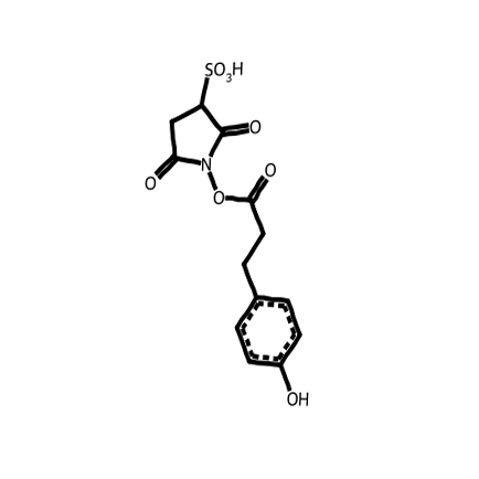 O=C(CCc1ccc(O)cc1)ON1C(=O)CC(S(=O)(=O)O)C1=O